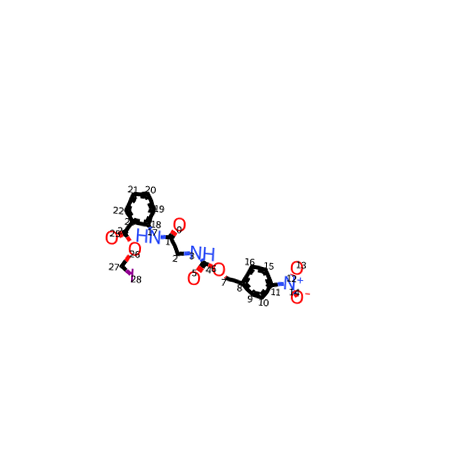 O=C(CNC(=O)OCc1ccc([N+](=O)[O-])cc1)Nc1ccccc1C(=O)OCI